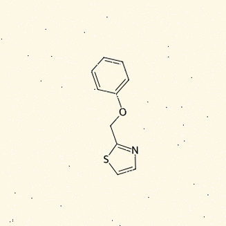 [c]1ccccc1OCc1nccs1